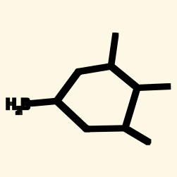 BC1CC(C)C(C)C(C)C1